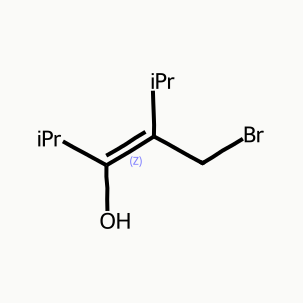 CC(C)/C(O)=C(/CBr)C(C)C